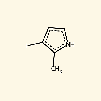 Cc1[nH]ccc1I